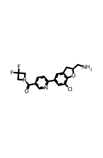 NCC1Cc2cc(-c3ccc(C(=O)N4CC(F)(F)C4)cn3)cc(Cl)c2O1